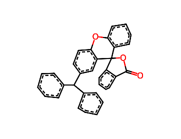 O=C1OC2(c3ccccc3Oc3ccc(C(c4ccccc4)c4ccccc4)cc32)c2ccccc21